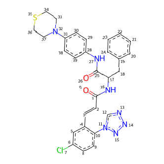 O=C(C=Cc1cc(Cl)ccc1-n1cnnn1)NC(Cc1ccccc1)C(=O)Nc1ccc(N2CCSCC2)cc1